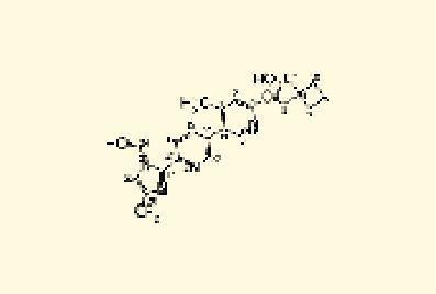 Cc1cc(OCC2(C(=O)O)CCC2)ncc1-c1ccc(-c2nc(C(F)(F)F)cn2CO)nc1